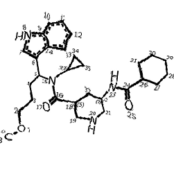 COCCCC(c1c[nH]c2ccccc12)N(C(=O)[C@@H]1CNC[C@H](NC(=O)C2CCCCC2)C1)C1CC1